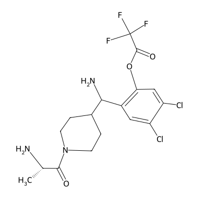 C[C@H](N)C(=O)N1CCC(C(N)c2cc(Cl)c(Cl)cc2OC(=O)C(F)(F)F)CC1